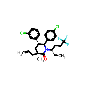 C=CC[C@@]1(C)C[C@H](c2cccc(Cl)c2)C(c2ccc(Cl)cc2)N([C@@H](CC)CCC(F)(F)F)C1=O